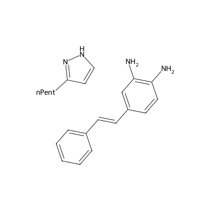 CCCCCc1cc[nH]n1.Nc1ccc(C=Cc2ccccc2)cc1N